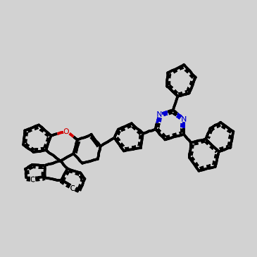 C1=C(c2ccc(-c3cc(-c4cccc5ccccc45)nc(-c4ccccc4)n3)cc2)CCC2=C1Oc1ccccc1C21c2ccccc2-c2ccccc21